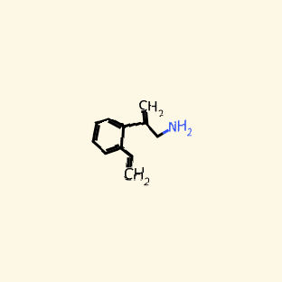 C=Cc1ccccc1C(=C)CN